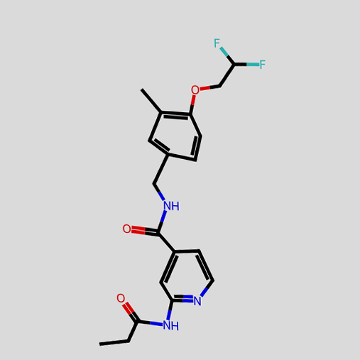 CCC(=O)Nc1cc(C(=O)NCc2ccc(OCC(F)F)c(C)c2)ccn1